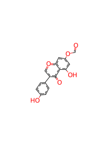 O=COc1cc(O)c2c(=O)c(-c3ccc(O)cc3)coc2c1